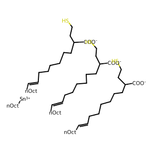 CCCCCCCCC=CCCCCCCC(CCS)C(=O)[O-].CCCCCCCCC=CCCCCCCC(CCS)C(=O)[O-].CCCCCCCCC=CCCCCCCC(CCS)C(=O)[O-].CCCCCCC[CH2][Sn+3]